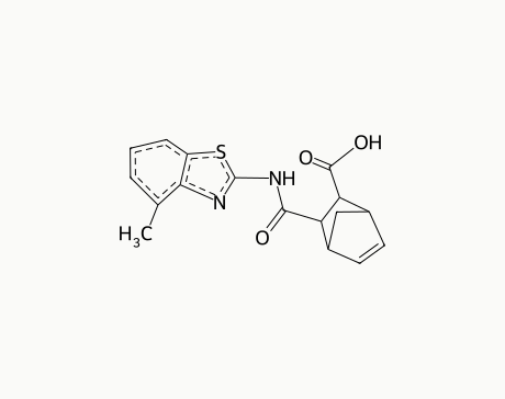 Cc1cccc2sc(NC(=O)C3C4C=CC(C4)C3C(=O)O)nc12